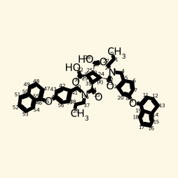 CCCN(Cc1ccc(Oc2cccc3ccccc23)cc1)C(=O)[C@H]1[C@@H](C(=O)O)[C@H](C(=O)O)[C@@H]1C(=O)N(CCC)Cc1ccc(Oc2cccc3ccccc23)cc1